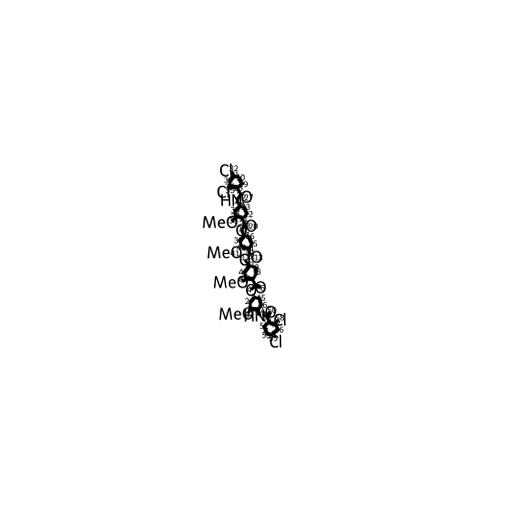 COc1cc(OC(=O)c2ccc(OC(=O)c3ccc(OC(=O)c4ccc(NC(=O)c5ccc(Cl)cc5Cl)cc4OC)cc3OC)cc2OC)ccc1NC(=O)c1ccc(Cl)cc1Cl